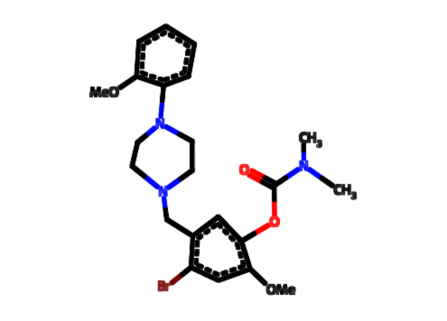 COc1cc(Br)c(CN2CCN(c3ccccc3OC)CC2)cc1OC(=O)N(C)C